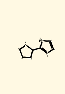 c1c[nH]c(C2CCCS2)n1